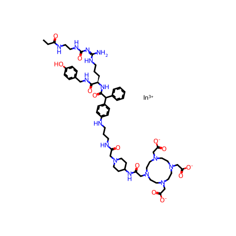 CCC(=O)NCCNC(=O)/N=C(/N)NCCC[C@@H](NC(=O)C(c1ccccc1)c1ccc(NCCCNC(=O)CN2CCC(NC(=O)CN3CCN(CC(=O)[O-])CCN(CC(=O)[O-])CCN(CC(=O)[O-])CC3)CC2)cc1)C(=O)NCc1ccc(O)cc1.[In+3]